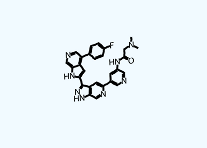 CN(C)CC(=O)Nc1cncc(-c2cc3c(-c4cc5c(-c6ccc(F)cc6)cncc5[nH]4)n[nH]c3cn2)c1